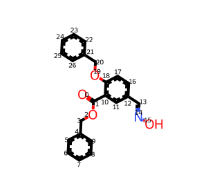 O=C(OCc1ccccc1)c1cc(C=NO)ccc1OCc1ccccc1